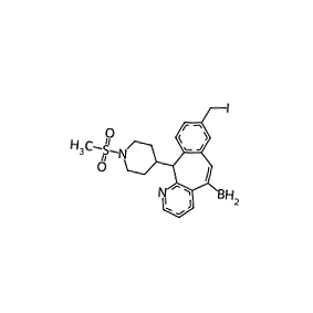 BC1=Cc2cc(CI)ccc2C(C2CCN(S(C)(=O)=O)CC2)c2ncccc21